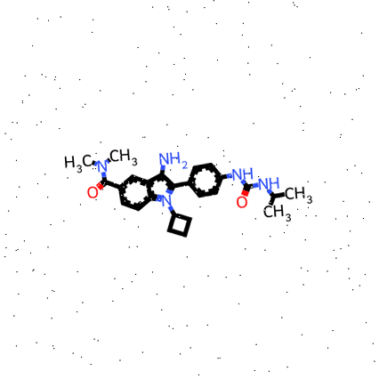 CC(C)NC(=O)Nc1ccc(-c2c(N)c3cc(C(=O)N(C)C)ccc3n2C2CCC2)cc1